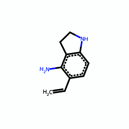 C=Cc1ccc2c(c1N)CCN2